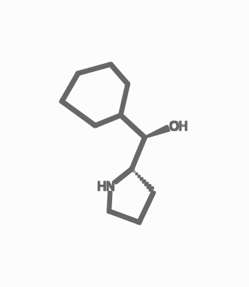 O[C@H](C1CCCCC1)[C@@H]1CCCN1